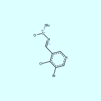 CC(C)(C)[S@@+]([O-])/N=C/c1cncc(Br)c1Cl